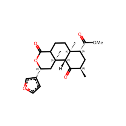 COC(=O)[C@@H]1C[C@@H](C)C(=O)[C@H]2[C@@]1(C)CCC1C(=O)O[C@@H](c3ccoc3)C[C@@]12C